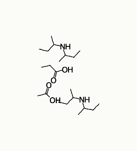 CC(=O)O.CCC(=O)O.CCC(C)NC(C)CC.CCC(C)NC(C)CC